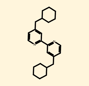 c1cc(CC2CCCCC2)cc(-c2cc(CC3CCCCC3)ccn2)n1